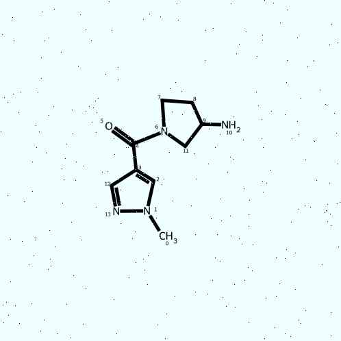 Cn1cc(C(=O)N2CCC(N)C2)cn1